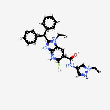 CCn1cc(NC(=O)c2cc3c(nc2F)nc(C(c2ccccc2)c2ccccc2)n3CC)cn1